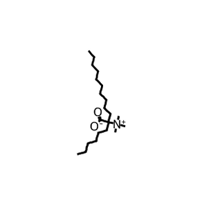 CCCCCCCCCCC(CCCCCC)(C(=O)[O-])[N+](C)(C)C